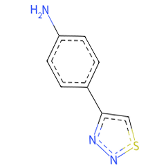 Nc1ccc(-c2csnn2)cc1